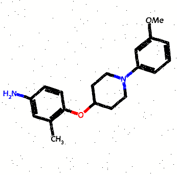 COc1cccc(N2CCC(Oc3ccc(N)cc3C)CC2)c1